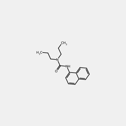 CCCN(CCC)C(=O)Nc1cccc2ccccc12